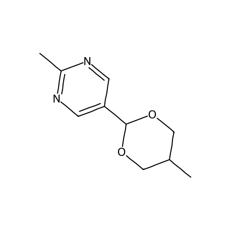 Cc1ncc(C2OCC(C)CO2)cn1